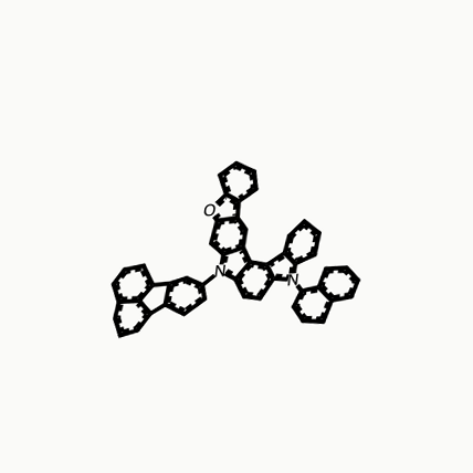 c1ccc2c(-n3c4ccccc4c4c5c6cc7c(cc6n(-c6ccc8c(c6)-c6cccc9cccc-8c69)c5ccc43)oc3ccccc37)cccc2c1